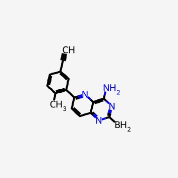 Bc1nc(N)c2nc(-c3cc(C#C)ccc3C)ccc2n1